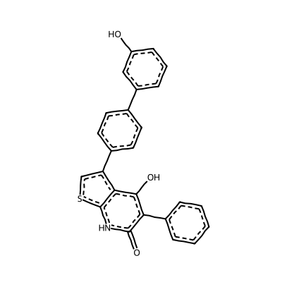 O=c1[nH]c2scc(-c3ccc(-c4cccc(O)c4)cc3)c2c(O)c1-c1ccccc1